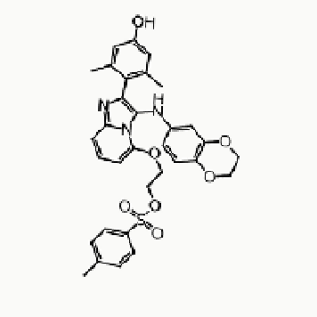 Cc1ccc(S(=O)(=O)OCCOc2cccc3nc(-c4c(C)cc(O)cc4C)c(Nc4ccc5c(c4)OCCO5)n23)cc1